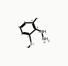 CSc1cccc(C)c1NN